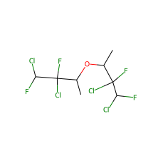 CC(OC(C)C(F)(Cl)C(F)Cl)C(F)(Cl)C(F)Cl